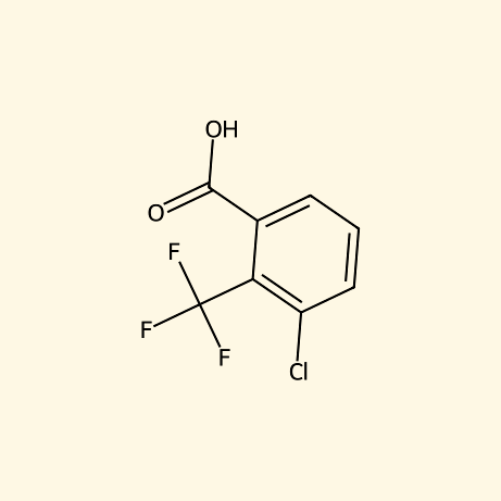 O=C(O)c1cccc(Cl)c1C(F)(F)F